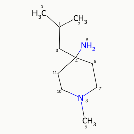 CC(C)CC1(N)CCN(C)CC1